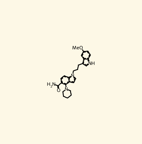 COc1ccc2[nH]cc(CCCn3ccc4c(N5CCCCC5)c(C(N)=O)ccc43)c2c1